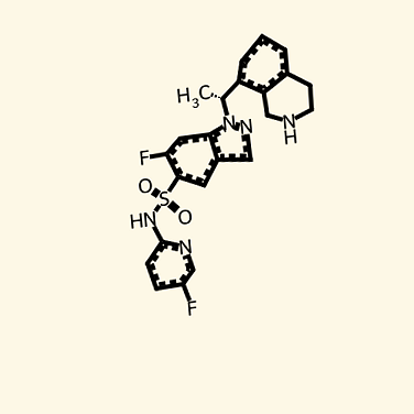 C[C@H](c1cccc2c1CNCC2)n1ncc2cc(S(=O)(=O)Nc3ccc(F)cn3)c(F)cc21